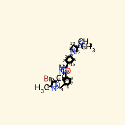 Cc1nn(Cc2cccc(-c3nnc(-c4ccc(N5CCC(N(C)C)C5)cc4)o3)c2)c(C)c1Br